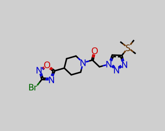 CS(C)(C)c1cn(CC(=O)N2CCC(c3nc(Br)no3)CC2)nn1